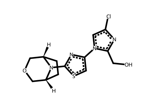 OCc1nc(Cl)cn1-c1csc(N2[C@@H]3CC[C@H]2COC3)n1